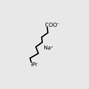 CC(C)CCCCCCC(=O)[O-].[Na+]